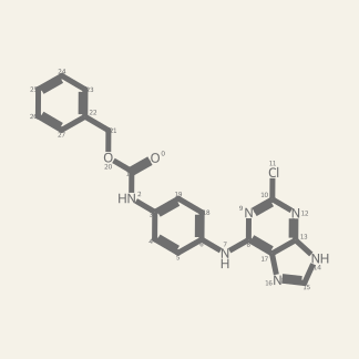 O=C(Nc1ccc(Nc2nc(Cl)nc3[nH]cnc23)cc1)OCc1ccccc1